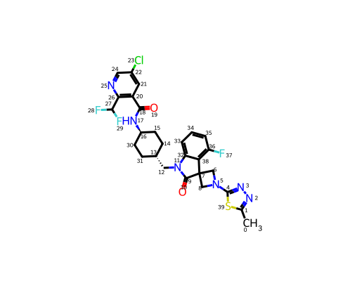 Cc1nnc(N2CC3(C2)C(=O)N(C[C@H]2CC[C@H](NC(=O)c4cc(Cl)cnc4C(F)F)CC2)c2cccc(F)c23)s1